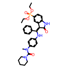 CCOP(=O)(OCC)c1ccc2c(c1)/C(=C(/Nc1ccc(N(C)C(=O)N3CCCCC3)cc1)c1ccccc1)C(=O)N2